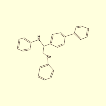 c1ccc(NC(C[Se]c2ccccc2)c2ccc(-c3ccccc3)cc2)cc1